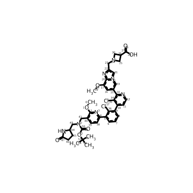 COc1nc(-c2cccc(-c3ccnc(-c4cc(OC)c5nc(CN6CC(C(=O)O)C6)cn5c4)c3Cl)c2Cl)ccc1CN(CC1CCC(=O)N1)C(=O)OC(C)(C)C